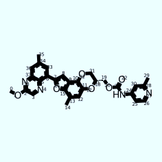 COc1cnc2c(-c3cc4c5c(cc(C)c4o3)O[C@@H](COC(=O)Nc3ccnc(C)c3)CO5)cc(C)cc2n1